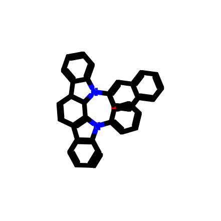 c1ccc2c3c(n(-c4ccccc4)c2c#1)C1C(C=C3)c2ccccc2N1c1ccc2ccccc2c1